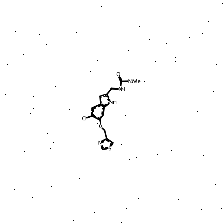 CNC(=O)NCc1cc2cc(Cl)c(OCc3cscn3)cc2[nH]1